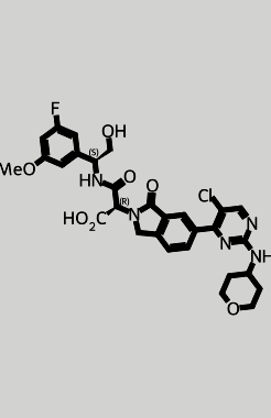 COc1cc(F)cc([C@@H](CO)NC(=O)[C@H](C(=O)O)N2Cc3ccc(-c4nc(NC5CCOCC5)ncc4Cl)cc3C2=O)c1